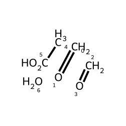 C=O.C=O.CC(=O)O.O